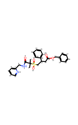 CC(C)(C(=O)NCc1ccccn1)S(=O)(=O)CC(CC(=O)OCc1ccccc1)c1ccccc1